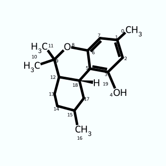 Cc1cc(O)c2c(c1)OC(C)(C)C1CCC(C)C[C@@H]21